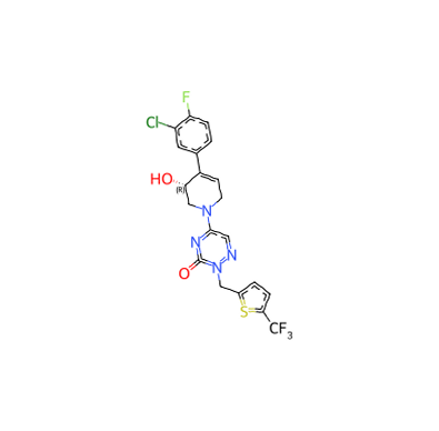 O=c1nc(N2CC=C(c3ccc(F)c(Cl)c3)[C@@H](O)C2)cnn1Cc1ccc(C(F)(F)F)s1